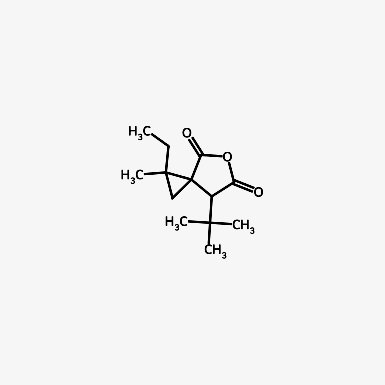 CCC1(C)CC12C(=O)OC(=O)C2C(C)(C)C